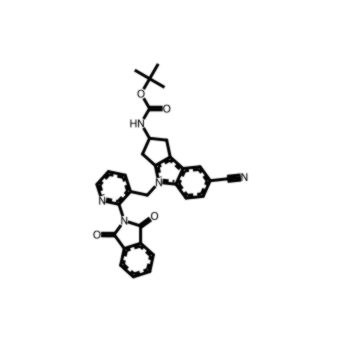 CC(C)(C)OC(=O)NC1Cc2c(n(Cc3cccnc3N3C(=O)c4ccccc4C3=O)c3ccc(C#N)cc23)C1